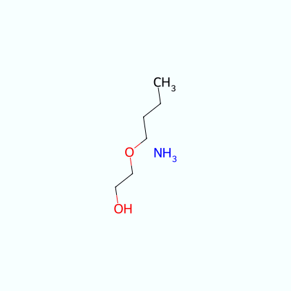 CCCCOCCO.N